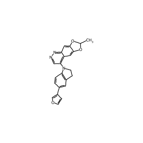 CC1Oc2cc3nncc(N4CCc5cc(-c6ccoc6)ccc54)c3cc2O1